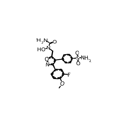 COc1ccc(-c2noc(CN(O)C(N)=O)c2-c2ccc(S(N)(=O)=O)cc2)cc1F